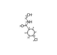 [CH]=CNC(=O)c1ccc(Cl)cc1